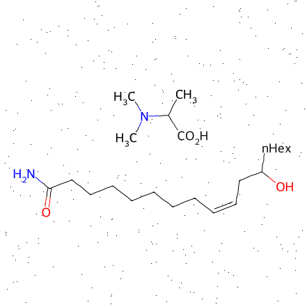 CC(C(=O)O)N(C)C.CCCCCCC(O)C/C=C\CCCCCCCC(N)=O